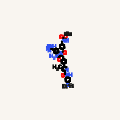 CCN(CC)C1CCC(NC(=O)c2cc(C)c(-c3ccc(C[C@@H](C(N)=O)N(c4ccc(-c5nnn[nH]5)cc4)C(=O)[C@H]4CC[C@H](CNC(=O)OC(C)(C)C)CC4)cc3)cn2)CC1